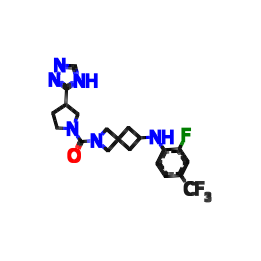 O=C(N1CCC(c2nnc[nH]2)C1)N1CC2(CC(Nc3ccc(C(F)(F)F)cc3F)C2)C1